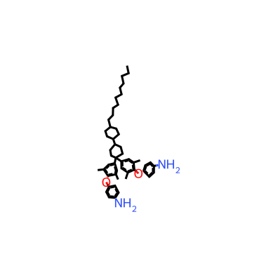 CCCCCCCCCCCC1CCC(C2CCC(c3cc(C)c(Oc4ccc(N)cc4)c(C)c3)(c3cc(C)c(Oc4ccc(N)cc4)c(C)c3)CC2)CC1